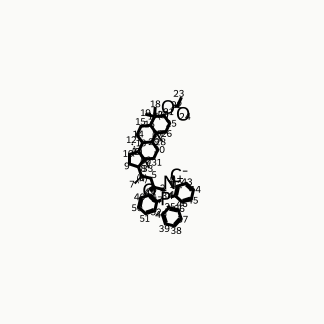 [C-]#[N+]C(C(=O)C[C@@H](C)C1CC[C@@]2(C)C3CCC4C(C)(C)[C@@H](OC(C)=O)CC[C@]4(C)C3CC[C@]12C)=P(c1ccccc1)(c1ccccc1)c1ccccc1